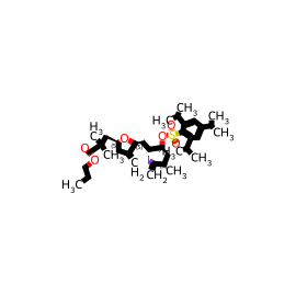 C=C(I)[C@H](C)C[C@@H](CC[C@@H]1O[C@H](CC(C)(C)C(=O)OCCC)CC1=C)OS(=O)(=O)c1c(C(C)C)cc(C(C)C)cc1C(C)C